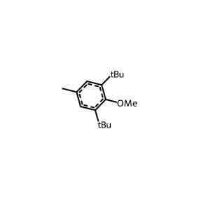 COc1c(C(C)(C)C)cc(C)cc1C(C)(C)C